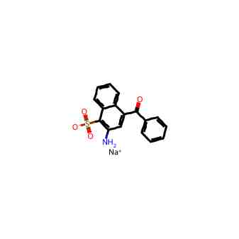 Nc1cc(C(=O)c2ccccc2)c2ccccc2c1S(=O)(=O)[O-].[Na+]